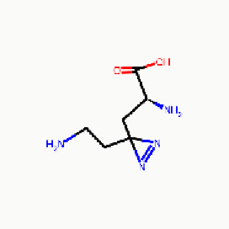 NCCC1(C[C@H](N)C(=O)O)N=N1